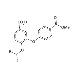 COC(=O)c1ccc(Oc2cc(C(=O)O)ccc2OC(F)F)cc1